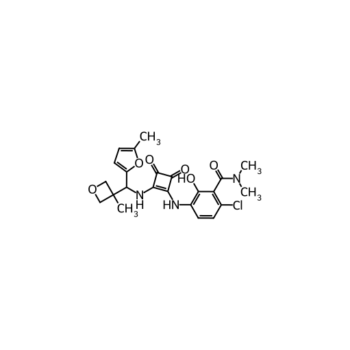 Cc1ccc(C(Nc2c(Nc3ccc(Cl)c(C(=O)N(C)C)c3O)c(=O)c2=O)C2(C)COC2)o1